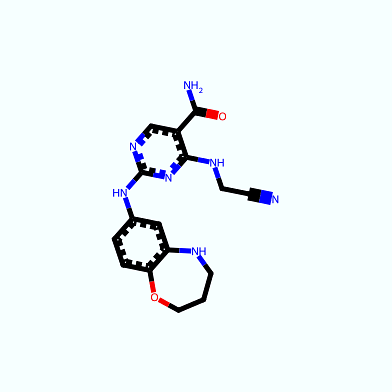 N#CCNc1nc(Nc2ccc3c(c2)NCCCO3)ncc1C(N)=O